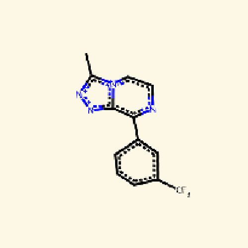 Cc1nnc2c(-c3cccc(C(F)(F)F)c3)nccn12